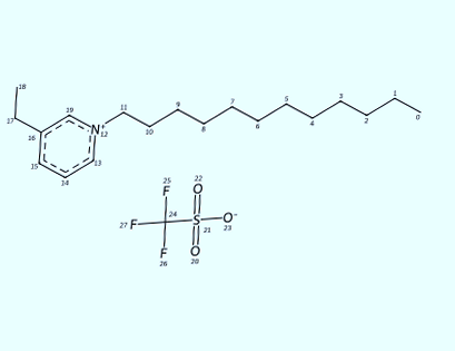 CCCCCCCCCCCC[n+]1cccc(CC)c1.O=S(=O)([O-])C(F)(F)F